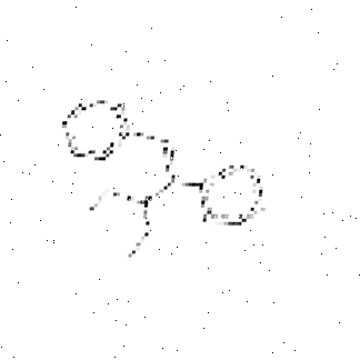 CCN(CC)C(=Cc1ccccc1)c1ccccc1